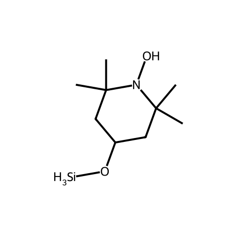 CC1(C)CC(O[SiH3])CC(C)(C)N1O